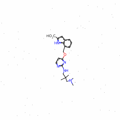 CN(C)CC(C)(C)CNc1nccc(OCc2cccc3cc(C(=O)O)[nH]c23)n1